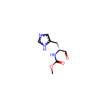 COC(=O)N[C@@H](C=O)Cc1cnc[nH]1